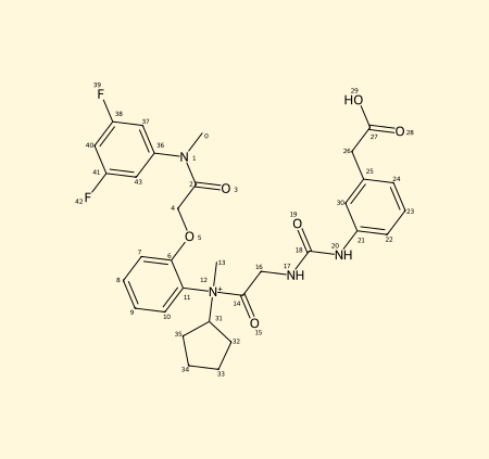 CN(C(=O)COc1ccccc1[N+](C)(C(=O)CNC(=O)Nc1cccc(CC(=O)O)c1)C1CCCC1)c1cc(F)cc(F)c1